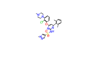 Cc1cccc(C)c1-c1cc(Oc2cccc(N3CCN(C)CC3)c2Cl)nc(NS(=O)(=O)c2cnn(C)c2)n1